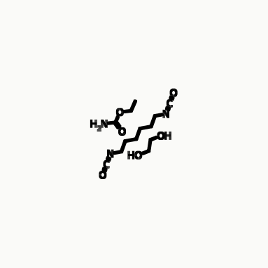 CCOC(N)=O.O=C=NCCCCCCN=C=O.OCCO